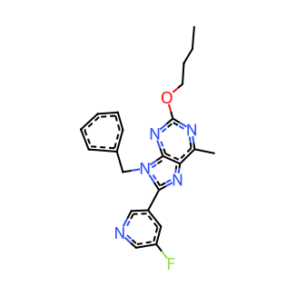 CCCCOc1nc(C)c2nc(-c3cncc(F)c3)n(Cc3ccccc3)c2n1